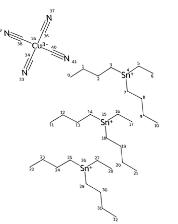 CCC[CH2][Sn+]([CH2]C)[CH2]CCC.CCC[CH2][Sn+]([CH2]C)[CH2]CCC.CCC[CH2][Sn+]([CH2]C)[CH2]CCC.N#[C][Cu-3]([C]#N)([C]#N)[C]#N